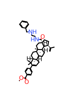 C=C(C)[C@@H]1CC[C@]2(C(=O)NCCNCc3ccccc3)CC[C@]3(C)[C@H](CC[C@@H]4[C@@]5(C)CC=C(c6ccc(C(=O)OC)cc6)C(C)(C)[C@@H]5CC[C@]43C)[C@@H]12